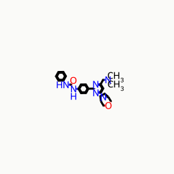 CN(C)Cc1cc(N2C3CCC2COC3)nc(-c2ccc(NC(=O)Nc3ccccc3)cc2)n1